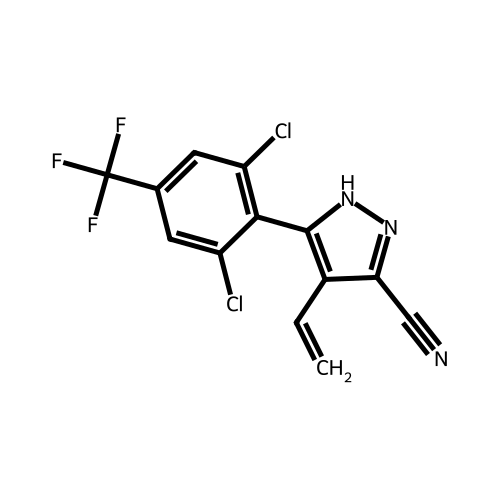 C=Cc1c(C#N)n[nH]c1-c1c(Cl)cc(C(F)(F)F)cc1Cl